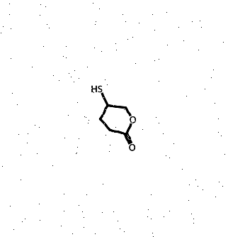 O=C1CCC(S)CO1